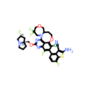 N#Cc1c(N)sc2c(F)ccc(-c3c(Cl)c4c5c(nc(OC[C@@]67CCCN6C[C@H](F)C7)nc5c3F)N3CC(F)(F)COCC3CCO4)c12